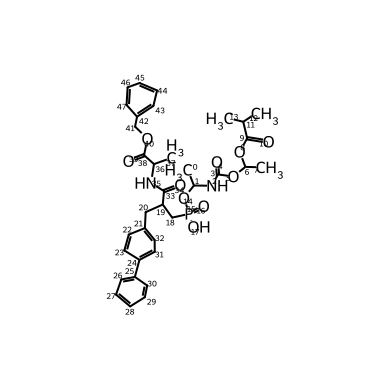 CC(NC(=O)OC(C)OC(=O)C(C)C)OP(=O)(O)CC(Cc1ccc(-c2ccccc2)cc1)C(=O)NC(C)C(=O)OCc1ccccc1